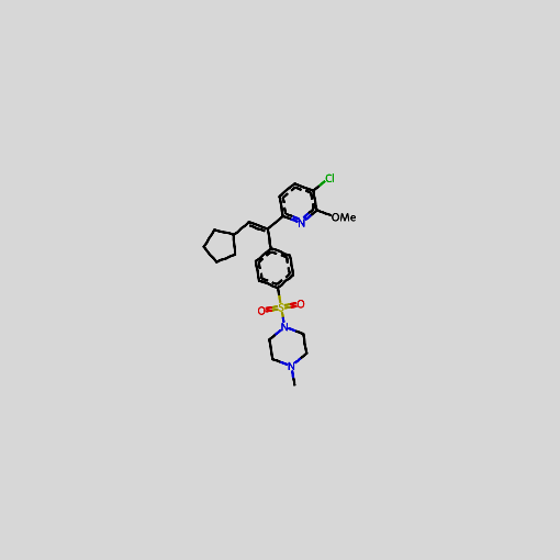 COc1nc(C(=CC2CCCC2)c2ccc(S(=O)(=O)N3CCN(C)CC3)cc2)ccc1Cl